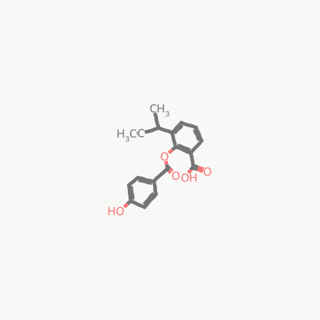 CCC(C)c1cccc(C(=O)O)c1OC(=O)c1ccc(O)cc1